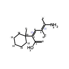 C=C(O)/C(=C\C(F)=C(/C)N)C1(C)CCCCC1